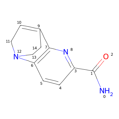 NC(=O)c1ccc2c(n1)C1=CCN2CC1